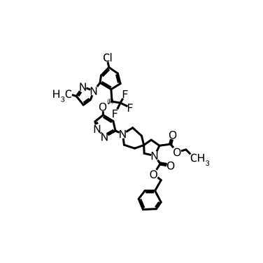 CCOC(=O)C1CC2(CCN(c3cc(O[C@H](c4ccc(Cl)cc4-n4ccc(C)n4)C(F)(F)F)cnn3)CC2)CN1C(=O)OCc1ccccc1